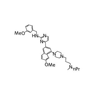 CCCN(C)CCCN1CCN(c2cc(-c3ccnc(NCc4cccc(OC)c4)n3)cc3ccc(OC)cc23)CC1